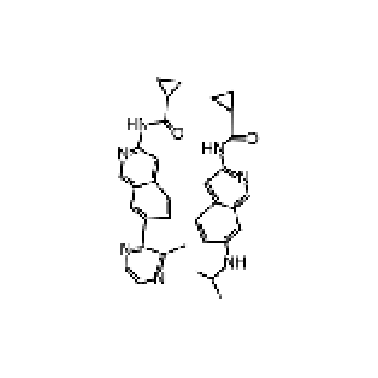 CC(C)Nc1ccc2cc(NC(=O)C3CC3)ncc2c1.Cc1nccnc1-c1ccc2cc(NC(=O)C3CC3)ncc2c1